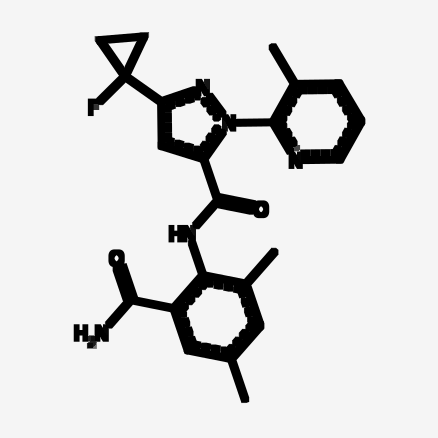 Cc1cc(C)c(NC(=O)c2cc(C3(F)CC3)nn2-c2ncccc2C)c(C(N)=O)c1